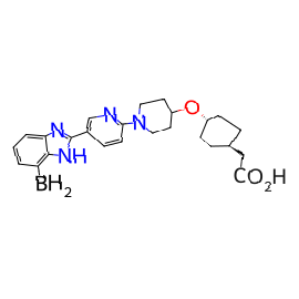 Bc1cccc2nc(-c3ccc(N4CCC(O[C@H]5CC[C@H](CC(=O)O)CC5)CC4)nc3)[nH]c12